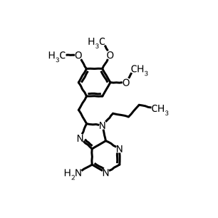 CCCCN1C(Cc2cc(OC)c(OC)c(OC)c2)N=C2C(N)=NC=NC21